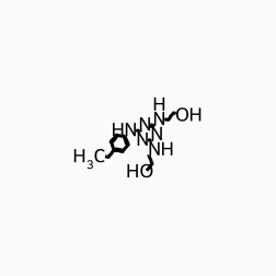 CCc1ccc(Nc2nc(NCCO)nc(NCCO)n2)cc1